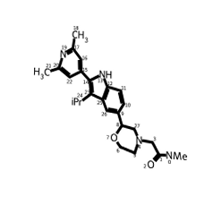 CNC(=O)CN1CCOC(c2ccc3[nH]c(-c4cc(C)nc(C)c4)c(C(C)C)c3c2)C1